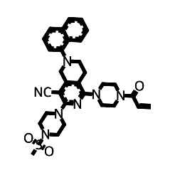 C=CC(=O)N1CCN(c2nc(N3CCN(S(C)(=O)=O)CC3)c(C#N)c3c2CCN(c2cccc4ccccc24)C3)CC1